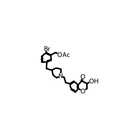 CC(=O)OCc1cc(CC2CCN(CCc3ccc4c(c3)C(=O)C(O)CO4)CC2)ccc1Br